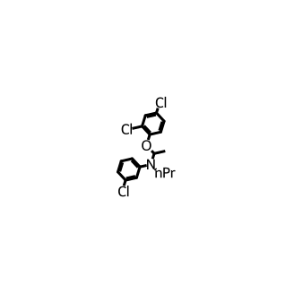 CCCN(c1cccc(Cl)c1)C(C)Oc1ccc(Cl)cc1Cl